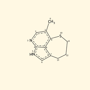 Cc1cnc2[nH]cc3c2c1SCCC3